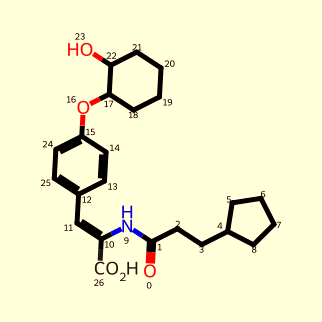 O=C(CCC1CCCC1)N/C(=C\c1ccc(OC2CCCCC2O)cc1)C(=O)O